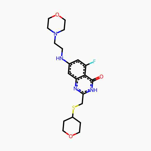 O=c1[nH]c(CSC2CCOCC2)nc2cc(NCCN3CCOCC3)cc(F)c12